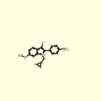 CCOc1ccc2c(F)c(-c3ccc([N+](=O)[O-])cc3)n(CC3CC3)c2c1